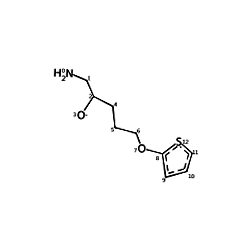 NCC([O])CCCOc1cccs1